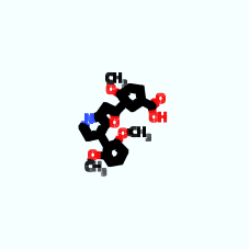 COc1ccc(C(=O)O)cc1-c1cc2nccc(-c3c(OC)cccc3OC)c2o1